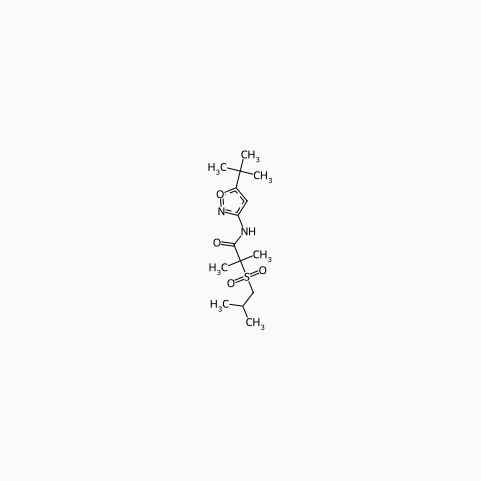 CC(C)CS(=O)(=O)C(C)(C)C(=O)Nc1cc(C(C)(C)C)on1